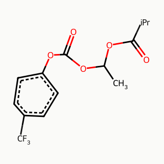 CC(OC(=O)Oc1ccc(C(F)(F)F)cc1)OC(=O)C(C)C